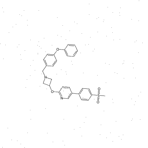 CS(=O)(=O)c1ccc(-c2ccc(OC3CN(Cc4ccc(Oc5ccccc5)cc4)C3)nc2)cc1